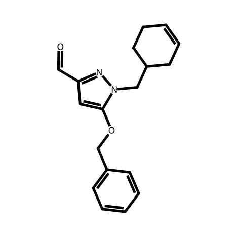 O=Cc1cc(OCc2ccccc2)n(CC2CC=CCC2)n1